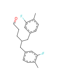 Cc1ccc(CC(CCC=O)Cc2ccc(C)c(F)c2)cc1F